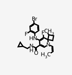 C/C=C\N1C=C(C(=O)NCC2CC2)C(Nc2ccc(Br)cc2F)=C(F)C12CCC2C